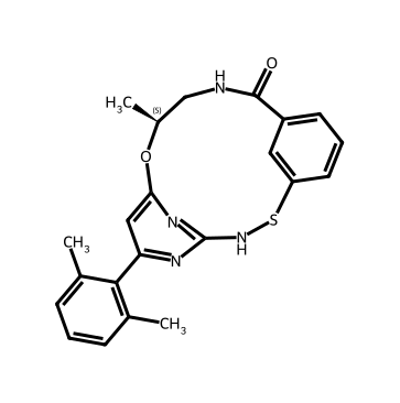 Cc1cccc(C)c1-c1cc2nc(n1)NSc1cccc(c1)C(=O)NC[C@H](C)O2